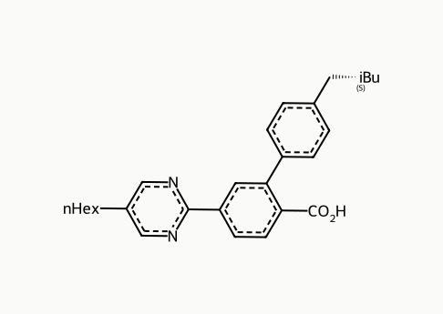 CCCCCCc1cnc(-c2ccc(C(=O)O)c(-c3ccc(C[C@@H](C)CC)cc3)c2)nc1